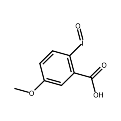 COc1ccc(I=O)c(C(=O)O)c1